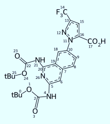 CC(C)(C)OC(=O)Nc1cc2ccc(-n3nc(C(F)(F)F)cc3C(=O)O)cc2c(NC(=O)OC(C)(C)C)n1